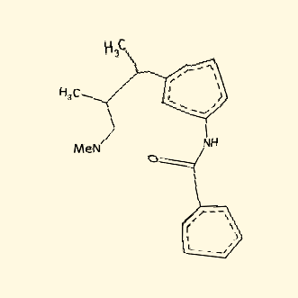 CNCC(C)C(C)c1cccc(NC(=O)c2ccccc2)c1